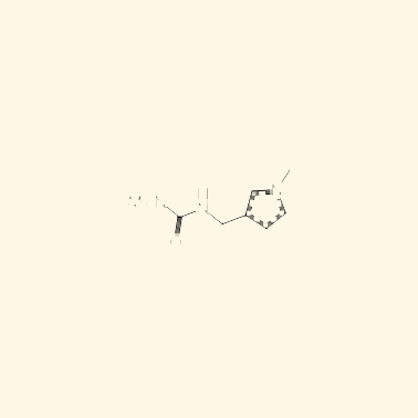 CNC(=O)NCc1ccn(C)c1